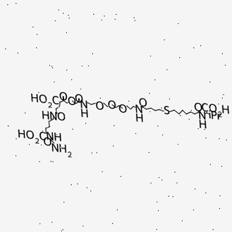 CC(C)C(NC(=O)CCCCCCCSCCCCCC(=O)NCCCOCCOCCOCCCNC(=O)COCC(=O)C(CCC(=O)NCCCCC(NC(=O)CN)C(=O)O)C(=O)O)C(=O)O